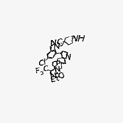 CCn1cc(C(F)(F)F)c(=O)n(Cc2cc3nccc(-c4cc(Cl)cc5ccn(CC6(C#N)CCNCC6)c45)c3s2)c1=O